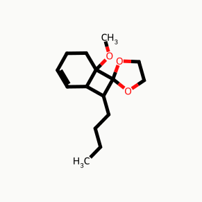 CCCCC1C2C=CCCC2(OC)C12OCCO2